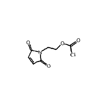 O=C(Cl)OCCN1C(=O)C=CC1=O